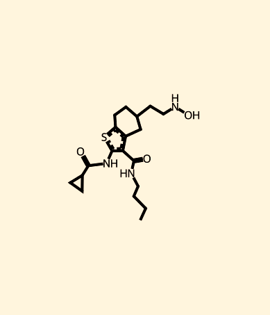 CCCCNC(=O)c1c(NC(=O)C2CC2)sc2c1CC(CCNO)CC2